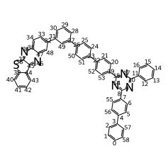 c1ccc(-c2ccc(-c3nc(-c4ccccc4)nc(-c4ccc(-c5ccc(-c6cccc(-c7ccc8nc9sc%10ccccc%10c9nc8c7)c6)cc5)cc4)n3)cc2)cc1